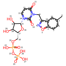 Cc1ccc2onc(Cn3c(=O)ccn([C@@H]4O[C@H](COP(=O)(O)OP(=O)(O)O)C(O)C4O)c3=O)c2c1